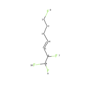 FCCCC=CC(F)C(F)F